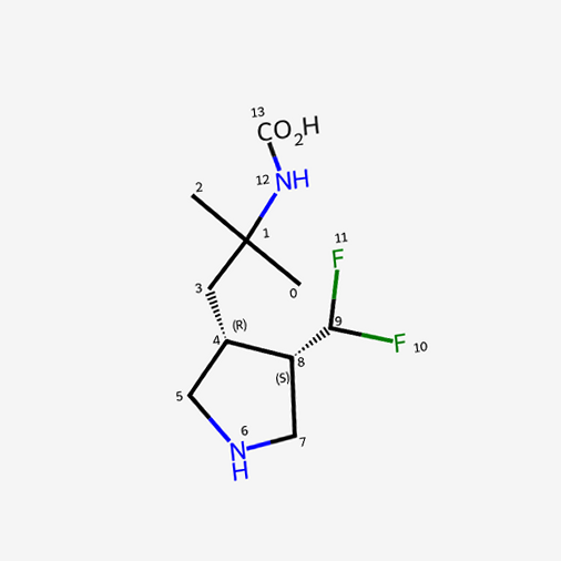 CC(C)(C[C@H]1CNC[C@H]1C(F)F)NC(=O)O